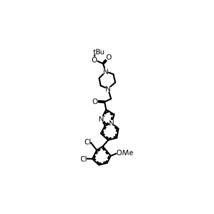 COc1ccc(Cl)c(Cl)c1-c1ccn2cc(C(=O)CN3CCN(C(=O)OC(C)(C)C)CC3)nc2c1